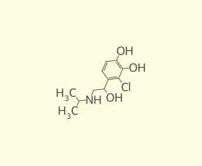 CC(C)NCC(O)c1ccc(O)c(O)c1Cl